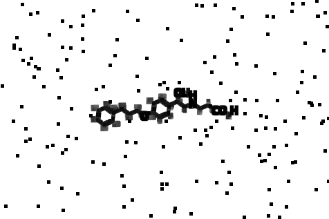 O=C(O)CCNCC(O)c1ccc(OCCCc2ccccc2)cc1